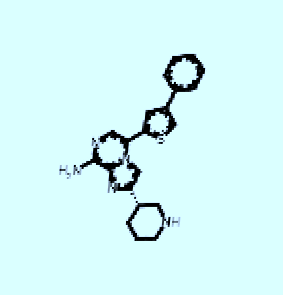 Nc1ncc(-c2cc(-c3ccccc3)cs2)n2cc([C@H]3CCCNC3)nc12